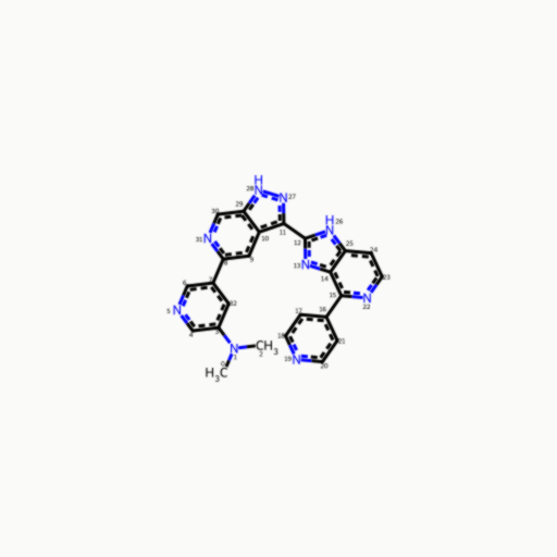 CN(C)c1cncc(-c2cc3c(-c4nc5c(-c6ccncc6)nccc5[nH]4)n[nH]c3cn2)c1